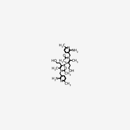 CC(=O)N(Cc1ccc(C)nc1N)/C(C)=C(/CCO)SS/C(CCO)=C(/C)N(Cc1ccc(C)nc1N)C(C)=O